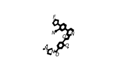 COc1cc(C(=O)N2CC[C@H](N(C)C)C2)ccc1-c1cc2nccc(-c3ccc(C4CC[C@H](F)C4)c(C#N)c3)c2o1